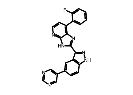 Fc1ccccc1-c1ccnc2[nH]c(-c3n[nH]c4ccc(-c5cncnc5)cc34)nc12